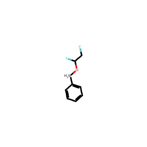 FCC(F)O[SiH2]c1ccccc1